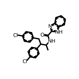 CC(NC(=O)c1nc2ccccc2[nH]1)C(Cc1ccc(Cl)cc1)c1ccc(Cl)cc1